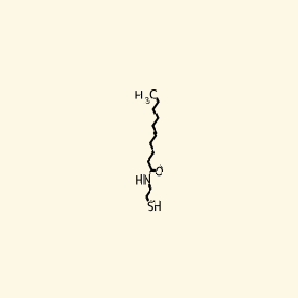 CCCCCCCCCC(=O)NCCS